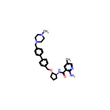 Cc1cnc(N)c(C(=O)N[C@H]2CCC[C@@H]2OCc2ccc(-c3ccc(CN4CCN(C)CC4)cc3)cc2)c1